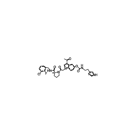 CC(=O)c1cn(CC(=O)N2CCC[C@H]2C(=O)NCc2cccc(Cl)c2F)c2ccc(OC(=O)NCCc3c[nH]cn3)cc12